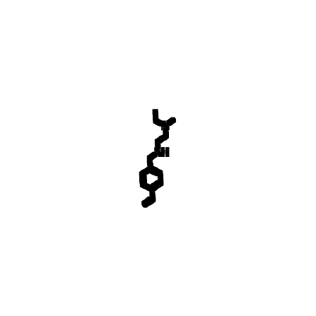 C=Cc1ccc(CNCCN(C)CC)cc1